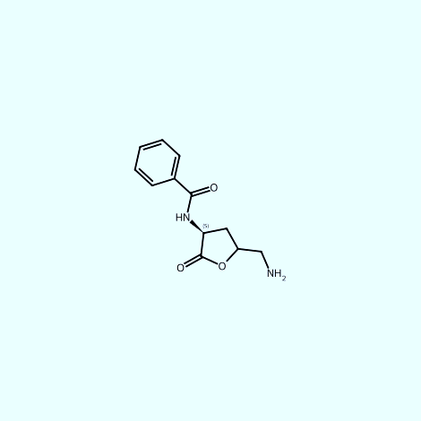 NCC1C[C@H](NC(=O)c2ccccc2)C(=O)O1